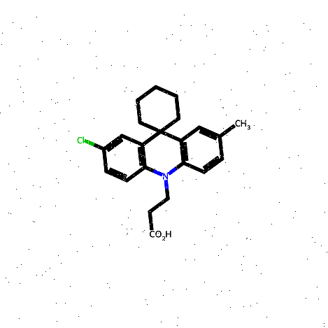 Cc1ccc2c(c1)C1(CCCCC1)c1cc(Cl)ccc1N2CCC(=O)O